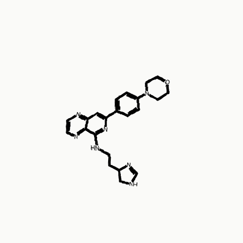 C1=NC(CCNc2nc(-c3ccc(N4CCOCC4)cc3)cc3nccnc23)CN1